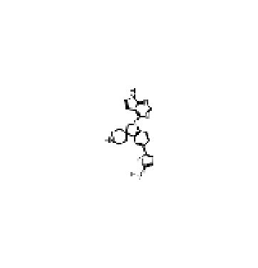 Cc1ccc(-c2ccc3c(c2)C2(CCNCC2)CN3c2ncnc3[nH]ccc23)o1